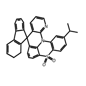 CC(C)c1ccc2c(c1)N1c3ncccc3C3(C4=C(C=CCC4)c4ccccc43)c3cccc(c31)S2(=O)=O